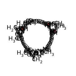 C=C1C[C@H]2CN3C(=O)CNC(=O)[C@H](C(C)C)NC(=O)CCOCCOCCNC(=O)C4C(C(=O)NCCOCCOCCC(=O)N[C@@H](C(C)C)C(=O)NCC(=O)N5c6cc(c(OC)cc6C(=O)N6CC(=C)C[C@H]6[C@@H]5O)OCCCCCOc5cc3c(cc5OC)C(=O)N2C1)N1C(=O)CC(SC(C)C(C)SC2CC(=O)N4C2=O)C1=O